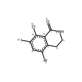 O=C1NCCc2c(Br)cc(I)c(Cl)c21